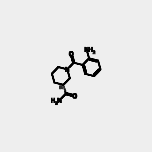 NC(=O)[C@@H]1CCCN(C(=O)c2ccccc2N)C1